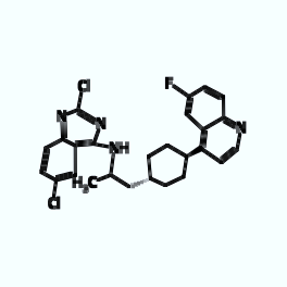 CC(C[C@H]1CC[C@H](c2ccnc3ccc(F)cc32)CC1)Nc1nc(Cl)nc2ccc(Cl)cc12